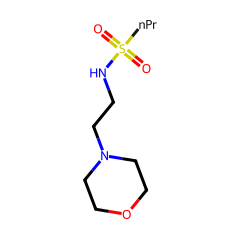 CCCS(=O)(=O)NCCN1CCOCC1